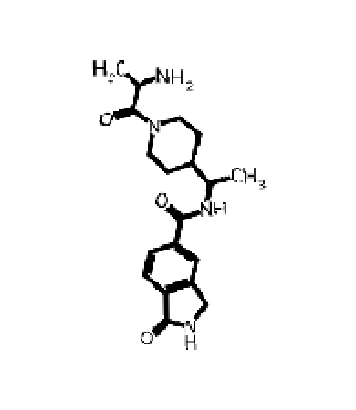 CC(N)C(=O)N1CCC(C(C)NC(=O)c2ccc3c(c2)CNC3=O)CC1